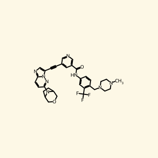 CN1CCN(Cc2ccc(NC(=O)c3cncc(C#Cc4cnc5ccc(N6C7CCC6COC7)nn45)c3)cc2C(F)(F)F)CC1